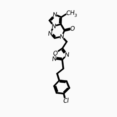 Cc1ncn2ncn(Cc3nc(CCc4ccc(Cl)cc4)no3)c(=O)c12